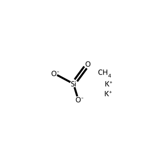 C.O=[Si]([O-])[O-].[K+].[K+]